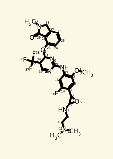 COc1cc(C2OC2NCCN(C)C)c(F)cc1NC1=NC(Oc2cccc3c2C(=O)N(C)C3)C(C(F)(F)F)C=N1